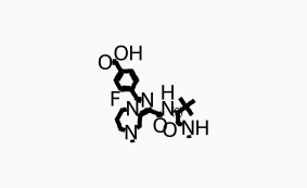 CNC(=O)[C@@H](NC(=O)c1nc(-c2ccc(C(=O)O)cc2F)n2c1CN(C)CCC2)C(C)(C)C